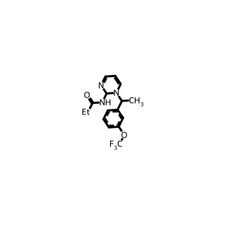 CCC(=O)NC1N=CC=CN1C(C)c1cccc(OC(F)(F)F)c1